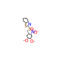 COc1cc(CSc2nc3ccccc3s2)c([N+](=O)[O-])cc1OC